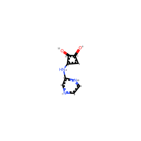 O=c1cc(Nc2cnccn2)c1=O